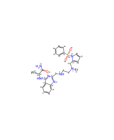 CCN(CCNCc1nc(N[C@H](C(N)=O)C(C)C)c2ccccc2n1)Cc1cccn1S(=O)(=O)c1ccccc1